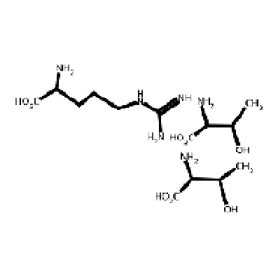 CC(O)C(N)C(=O)O.CC(O)C(N)C(=O)O.N=C(N)NCCCC(N)C(=O)O